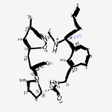 C=C/C=C(\NC)c1cccc(CNC(=O)[C@@H]2CCCN2C(=O)Cc2cc(C)no2)c1